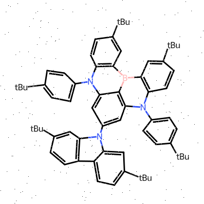 CC(C)(C)c1ccc(N2c3ccc(C(C)(C)C)cc3B3c4cc(C(C)(C)C)ccc4N(c4ccc(C(C)(C)C)cc4)c4cc(-n5c6cc(C(C)(C)C)ccc6c6ccc(C(C)(C)C)cc65)cc2c43)cc1